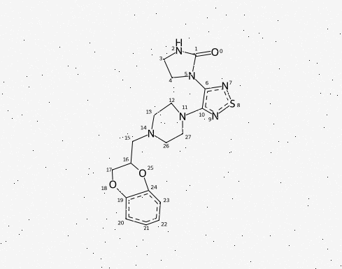 O=C1NCCN1c1nsnc1N1CCN(CC2COc3ccccc3O2)CC1